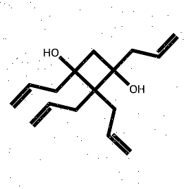 C=CCC1(O)CC(O)(CC=C)C1(CC=C)CC=C